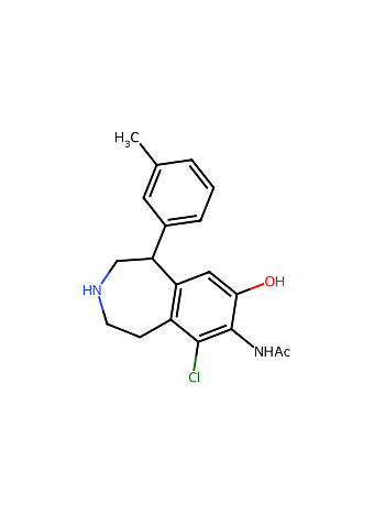 CC(=O)Nc1c(O)cc2c(c1Cl)CCNCC2c1cccc(C)c1